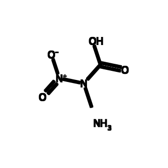 CN(C(=O)O)[N+](=O)[O-].N